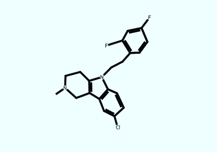 CN1CCc2c(c3cc(Cl)ccc3n2CCc2ccc(F)cc2F)C1